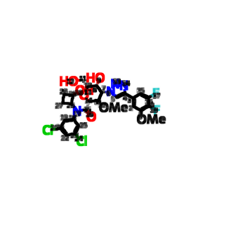 COc1cc(-c2cn([C@H]3[C@@H](O)[C@@H](CO)O[C@@H](C(=O)N(c4cc(Cl)cc(Cl)c4)[C@@H]4CC[C@H]4O)[C@@H]3OC)nn2)cc(F)c1F